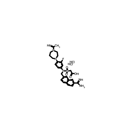 CC(=N)N1CCCN(c2ccc(N(Cc3ccc4ccc(C(=N)N)cc4c3)S(=O)(=O)CC(=O)O)cc2F)CC1.Cl.Cl